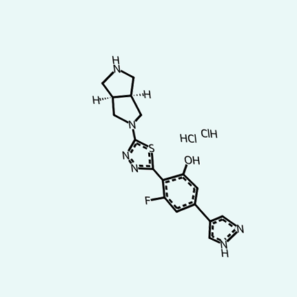 Cl.Cl.Oc1cc(-c2cn[nH]c2)cc(F)c1-c1nnc(N2C[C@H]3CNC[C@H]3C2)s1